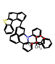 CC1(C)c2ccccc2-c2cccc(N(c3cccc(-c4cccc5ccc6sc7ccccc7c6c45)c3)c3c(-c4ccccc4)cccc3-c3ccccc3)c21